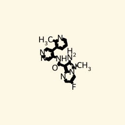 Cc1ncccc1-c1cnncc1NC(=O)C1=C2N=CC(F)=CN2N(C)C1N